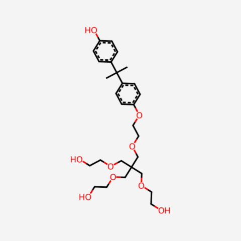 CC(C)(c1ccc(O)cc1)c1ccc(OCCOCC(COCCO)(COCCO)COCCO)cc1